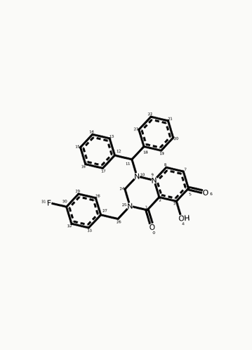 O=C1c2c(O)c(=O)ccn2N(C(c2ccccc2)c2ccccc2)CN1Cc1ccc(F)cc1